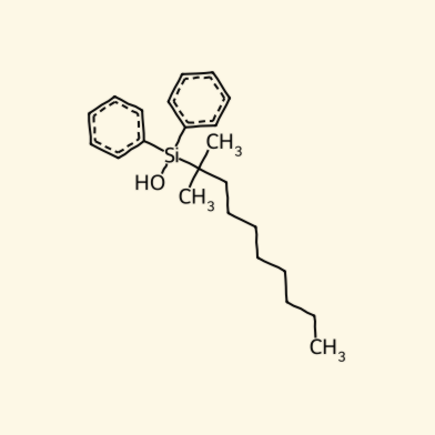 CCCCCCCCC(C)(C)[Si](O)(c1ccccc1)c1ccccc1